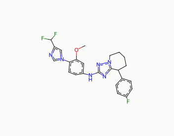 COc1cc(Nc2nc3n(n2)CCCCC3c2ccc(F)cc2)ccc1-n1cnc(C(F)F)c1